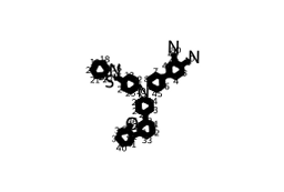 N#Cc1ccc(-c2ccc(N(c3ccc(-c4nc5ccccc5s4)cc3)c3ccc(-c4cccc5c4oc4ccccc45)cc3)cc2)cc1C#N